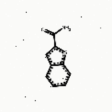 NC(=O)c1cc2ccccc2s1